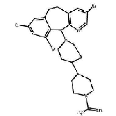 NC(=O)N1CCC(C2CCN(C3c4ncc(Br)cc4CCc4cc(Cl)cc(Br)c43)CC2)CC1